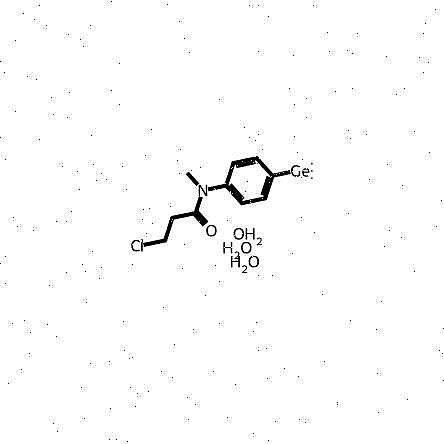 CN(C(=O)CCCl)c1cc[c]([Ge])cc1.O.O.O